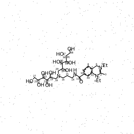 CCN1C(C)=[N+](CC)Cc2ccc(C(=O)NCCCN(C[C@H](O)[C@@H](O)[C@H](O)[C@H](O)CO)C[C@H](O)[C@@H](O)[C@H](O)[C@H](O)CO)cc21